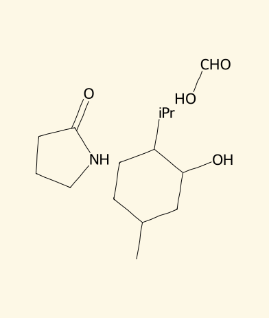 CC1CCC(C(C)C)C(O)C1.O=C1CCCN1.O=CO